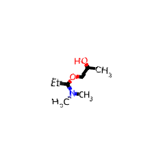 CCC(OCC(C)O)N(C)C